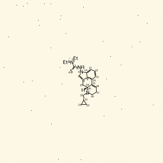 CCN(CC)C(=S)Nn1cc2c3c(cccc31)C1=CCCN(CC3CC3)[C@@H]1C2